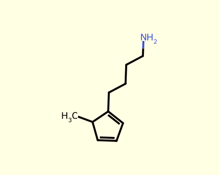 CC1C=CC=C1CCCCN